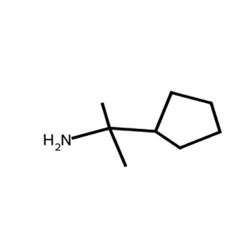 CC(C)(N)C1CCCC1